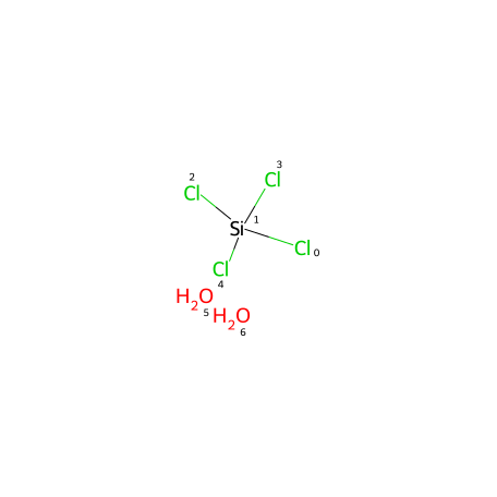 Cl[Si](Cl)(Cl)Cl.O.O